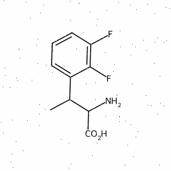 CC(c1cccc(F)c1F)C(N)C(=O)O